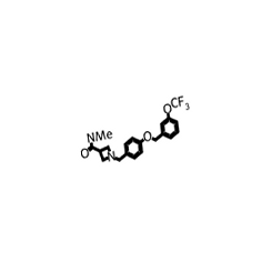 CNC(=O)C1CN(Cc2ccc(OCc3cccc(OC(F)(F)F)c3)cc2)C1